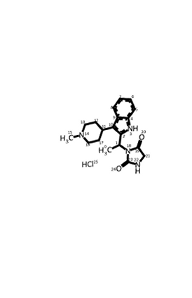 CC(c1[nH]c2ccccc2c1C1CCN(C)CC1)N1C(=O)CNC1=O.Cl